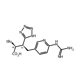 CC(C)(C)[C@H](C(=O)O)[C@H](Cc1ccc(NC(=N)N)nc1)c1nnn[nH]1